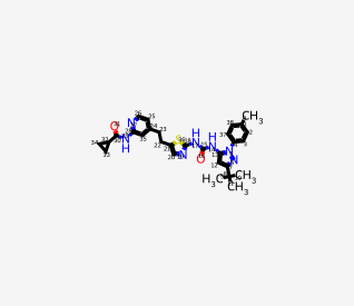 Cc1ccc(-n2nc(C(C)(C)C)cc2NC(=O)Nc2ncc(CCc3ccnc(NC(=O)C4CC4)c3)s2)cc1